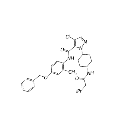 Cc1cc(OCc2ccccc2)ccc1NC(=O)c1c(Cl)cnn1[C@H]1CC[C@@H](NC(=O)CC(C)C)CC1